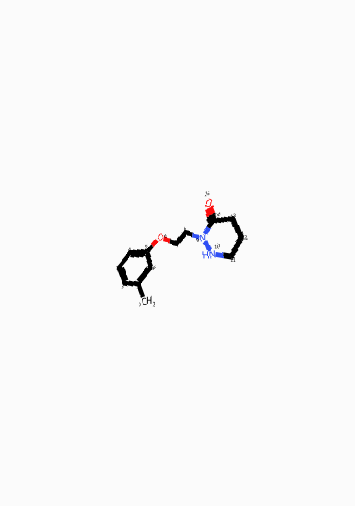 Cc1cccc(OCCN2NCCCC2=O)c1